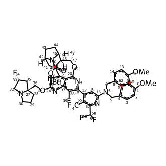 COc1ccc(CN(Cc2ccc(OC)cc2)c2cc(-c3nc4c5c(nc(OC[C@@]67CCCN6C[C@H](F)C7)nc5c3F)N3C[C@H]5CC[C@@H]([C@H]3[C@H](C)O4)N5C(=O)OC(C)(C)C)c(C(F)(F)F)c(C(F)F)n2)cc1